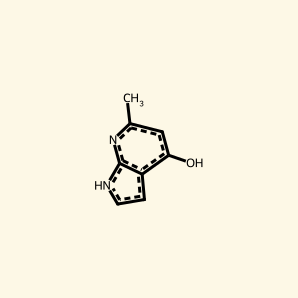 Cc1cc(O)c2cc[nH]c2n1